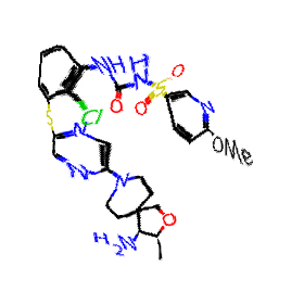 COc1ccc(S(=O)(=O)NC(=O)Nc2cccc(Sc3cnc(N4CCC5(CC4)CO[C@@H](C)[C@H]5N)cn3)c2Cl)cn1